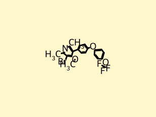 COc1c(Br)c(C)nc(C)c1-c1ccc(Oc2ccc(OC(F)(F)F)cc2)cc1